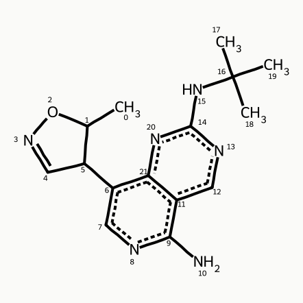 CC1ON=CC1c1cnc(N)c2cnc(NC(C)(C)C)nc12